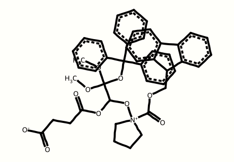 COC(OC)(OC(c1ccccc1)(c1ccccc1)c1ccccc1)C(OC(=O)CCC(=O)[O-])O[N+]1(C(=O)OCC2c3ccccc3-c3ccccc32)CCCC1